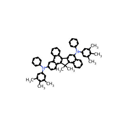 Cc1cc(N(c2ccccc2)c2ccc3c4c(c5ccccc5c3c2)-c2cc(N(c3ccccc3)c3cc(C)c(C)c(C)c3)c3ccccc3c2C4(C)C)cc(C)c1C